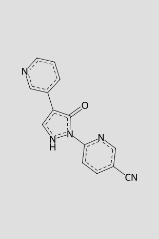 N#Cc1ccc(-n2[nH]cc(-c3cccnc3)c2=O)nc1